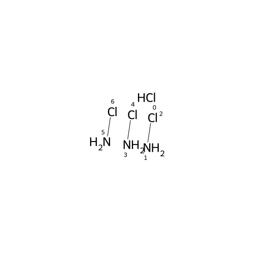 Cl.NCl.NCl.NCl